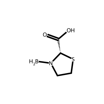 BN1CCS[C@H]1C(=O)O